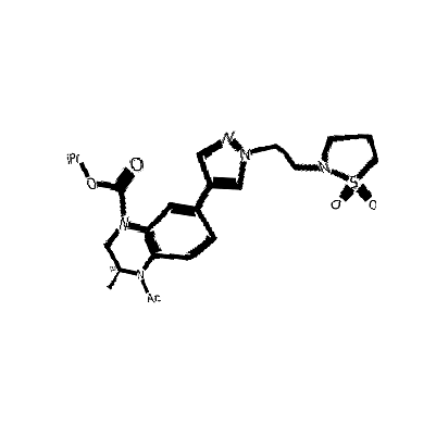 CC(=O)N1c2ccc(-c3cnn(CCN4CCCS4(=O)=O)c3)cc2N(C(=O)OC(C)C)C[C@@H]1C